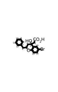 O=C(O)C[C@]1(O)CC(Cc2ccccc2)Oc2ccc(Br)cc21